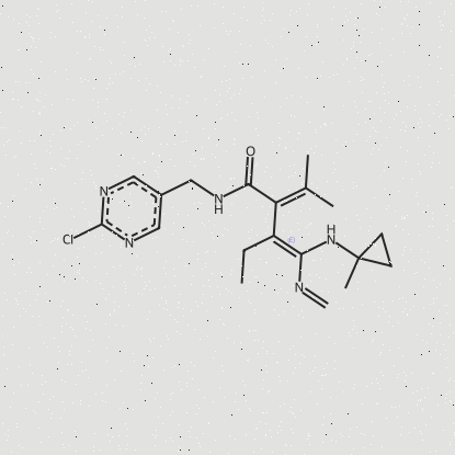 C=N/C(NC1(C)CC1)=C(\CC)C(C(=O)NCc1cnc(Cl)nc1)=C(C)C